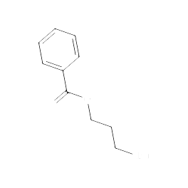 CC(C)(C)CCCOC(=O)c1ccccc1